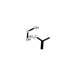 C=C(C)C(=O)O.OOO